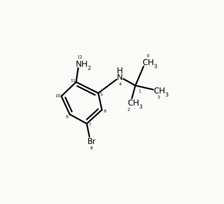 CC(C)(C)Nc1cc(Br)ccc1N